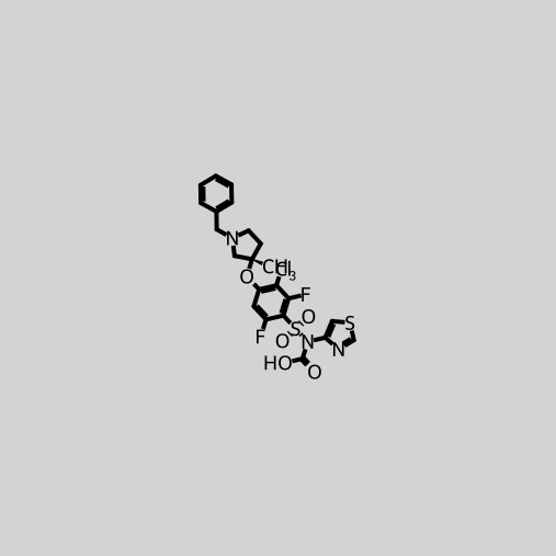 C[C@]1(Oc2cc(F)c(S(=O)(=O)N(C(=O)O)c3cscn3)c(F)c2Cl)CCN(Cc2ccccc2)C1